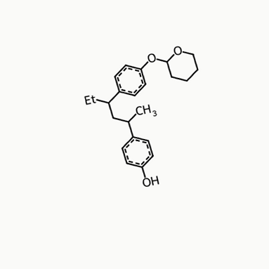 CCC(CC(C)c1ccc(O)cc1)c1ccc(OC2CCCCO2)cc1